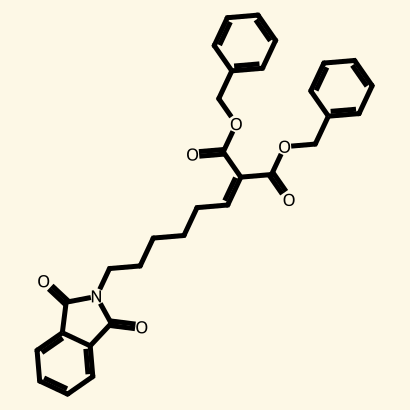 O=C(OCc1ccccc1)C(=CCCCCCN1C(=O)c2ccccc2C1=O)C(=O)OCc1ccccc1